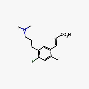 Cc1cc(F)c(CCCN(C)C)cc1C=CC(=O)O